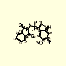 COc1cc2c(C(C)(C)CN3C(=O)c4ccccc4C3=O)c[nH]c2cc1F